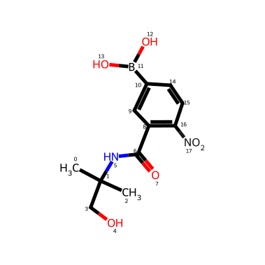 CC(C)(CO)NC(=O)c1cc(B(O)O)ccc1[N+](=O)[O-]